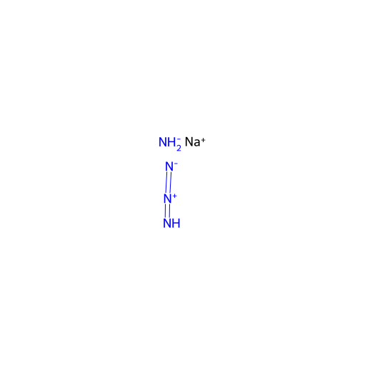 [N-]=[N+]=N.[NH2-].[Na+]